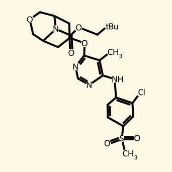 Cc1c(Nc2ccc(S(C)(=O)=O)cc2Cl)ncnc1OC1CC2COCC(C1)N2C(=O)OCC(C)(C)C